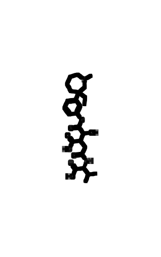 CCC1(c2cccc(OC(=O)C(O)C(CC(=O)N[C@H](C(=O)O)C(C)C)C(=O)O)c2)CCCCN(C)C1